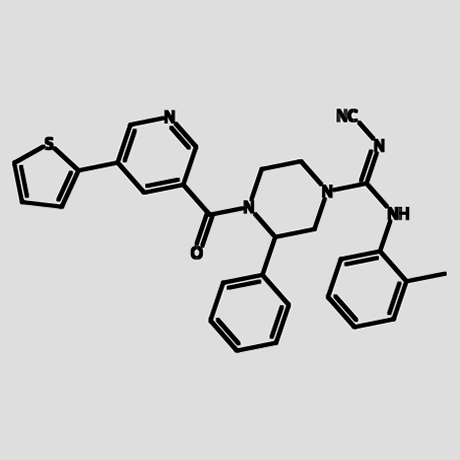 Cc1ccccc1N/C(=N/C#N)N1CCN(C(=O)c2cncc(-c3cccs3)c2)C(c2ccccc2)C1